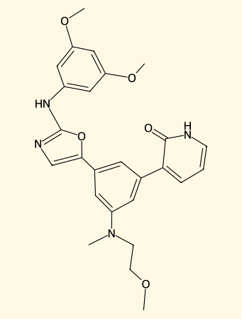 COCCN(C)c1cc(-c2cnc(Nc3cc(OC)cc(OC)c3)o2)cc(-c2ccc[nH]c2=O)c1